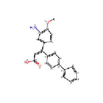 COc1ccc(C(=CC(=O)O)c2ccc(-c3ccccc3)cc2)cc1N